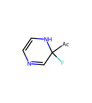 CC(=O)C1(F)C=NC=CN1